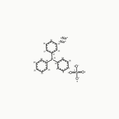 O=S(=O)([O-])[O-].[Na+].[Na+].c1ccc(P(c2ccccc2)c2ccccc2)cc1